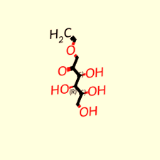 C=COCC(=O)[C@@H](O)[C@H](O)[C@@H](O)CO